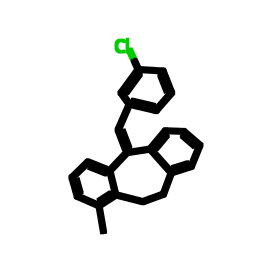 Cc1cccc2c1CCc1ccccc1C2=Cc1cccc(Cl)c1